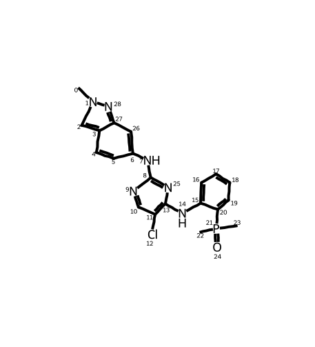 Cn1cc2ccc(Nc3ncc(Cl)c(Nc4ccccc4P(C)(C)=O)n3)cc2n1